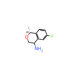 C[C@H]1OCC(N)c2cc(F)ccc21